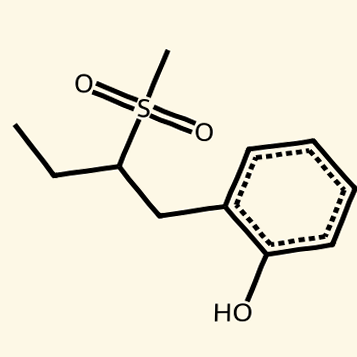 CCC(Cc1ccccc1O)S(C)(=O)=O